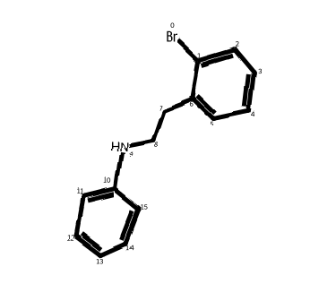 Brc1ccccc1CCNc1cc[c]cc1